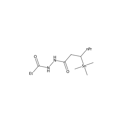 CCC[CH](CC(=O)NNC(=O)CC)[Sn]([CH3])([CH3])[CH3]